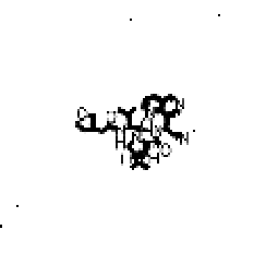 CC(C)[C@H](NC(=O)CC1CCOC1)C(=O)N1C[C@H]2[C@@H]([C@H]1C(=O)NC(C#N)c1cncc3cccnc13)C2(C)C